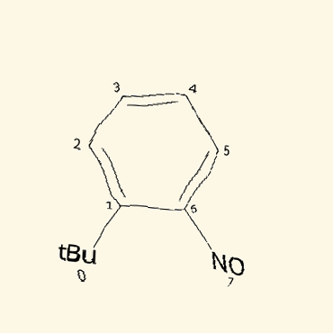 CC(C)(C)c1ccccc1N=O